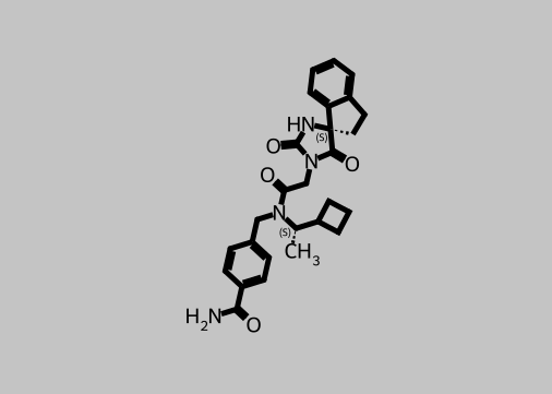 C[C@@H](C1CCC1)N(Cc1ccc(C(N)=O)cc1)C(=O)CN1C(=O)N[C@]2(CCc3ccccc32)C1=O